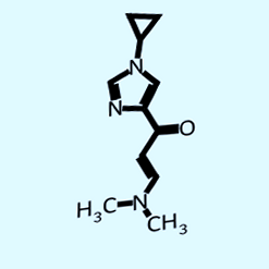 CN(C)C=CC(=O)c1cn(C2CC2)cn1